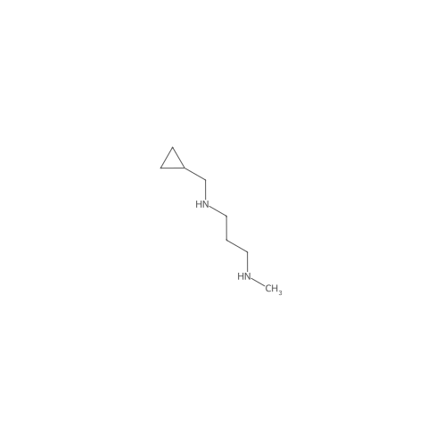 CNCCCNCC1CC1